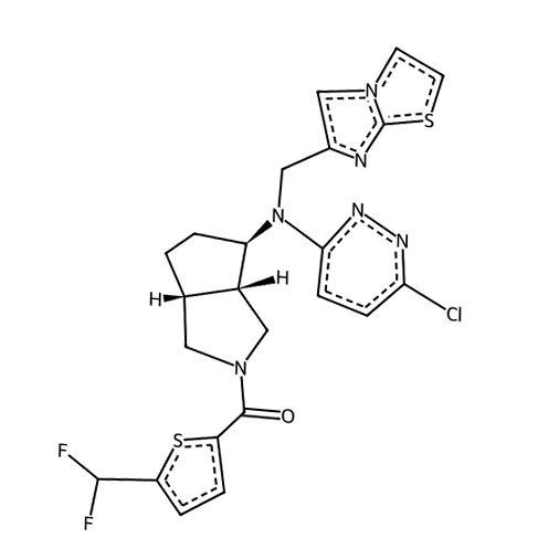 O=C(c1ccc(C(F)F)s1)N1C[C@@H]2CC[C@@H](N(Cc3cn4ccsc4n3)c3ccc(Cl)nn3)[C@@H]2C1